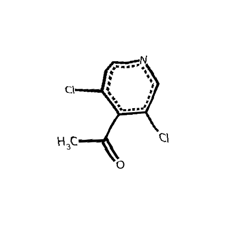 CC(=O)c1c(Cl)cncc1Cl